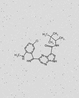 CNc1ccc(Cl)cc1C(=N)c1cnc2[nH]cc(C(=O)NC(C)C(C)(C)C)c2n1